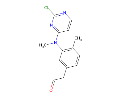 Cc1ccc(CC=O)cc1N(C)c1ccnc(Cl)n1